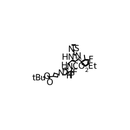 CCOC(=O)C1=C(CN2CC(F)(F)[C@@H]3CN(C4CC(C(=O)OC(C)(C)C)C4)C[C@@H]32)NC(c2nccs2)=N[C@H]1c1cccc(F)c1C